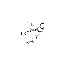 CCCCCCc1ccc(C=O)cc1.CCOC(C)OCC